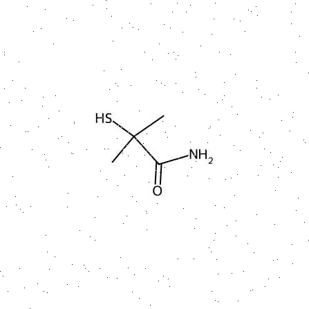 CC(C)(S)C(N)=O